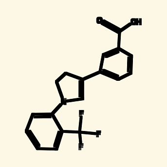 O=C(O)c1cccc(C2=CN(c3ccccc3C(F)(F)F)CC2)c1